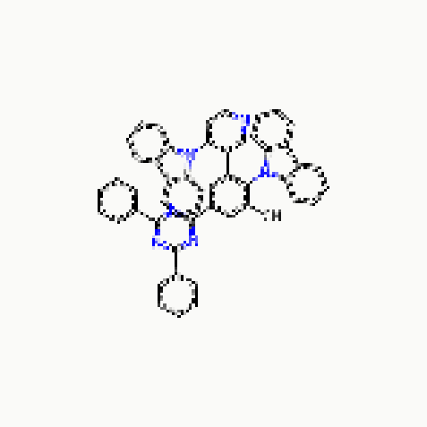 N#Cc1cc(-c2nc(-c3ccccc3)nc(-c3ccccc3)n2)cc(-c2cnccc2-n2c3ccccc3c3ccccc32)c1-n1c2ccccc2c2ccccc21